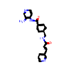 Nc1cnccc1NC(=O)c1ccc(CNC(=O)/C=C/c2cccnc2)cc1